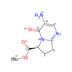 CC(C)(C)OC(=O)[C@@H]1CCc2ncc(N)c(=O)n21